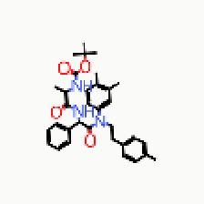 Cc1ccc(CCN(C(=O)C(NC(=O)C(C)NC(=O)OC(C)(C)C)c2ccccc2)c2ccc(C)c(C)c2)cc1